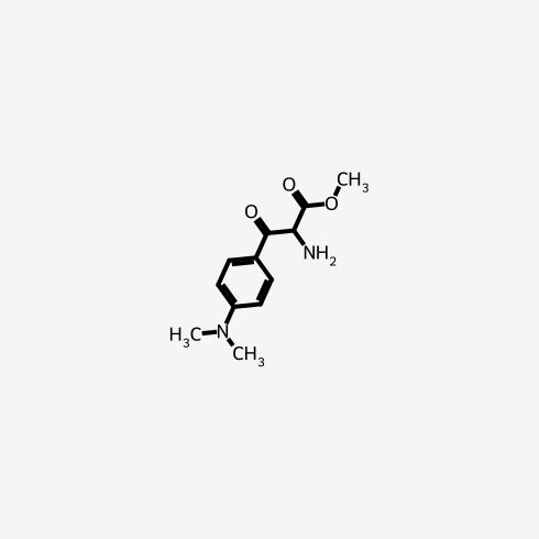 COC(=O)C(N)C(=O)c1ccc(N(C)C)cc1